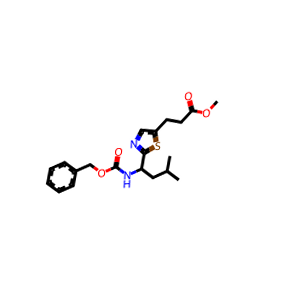 COC(=O)CCc1cnc(C(CC(C)C)NC(=O)OCc2ccccc2)s1